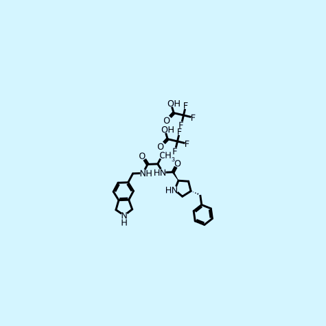 CC(NC(=O)[C@H]1C[C@H](Cc2ccccc2)CN1)C(=O)NCc1ccc2c(c1)CNC2.O=C(O)C(F)(F)F.O=C(O)C(F)(F)F